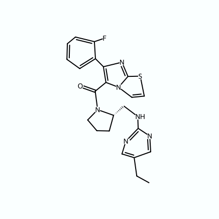 CCc1cnc(NC[C@@H]2CCCN2C(=O)c2c(-c3ccccc3F)nc3sccn23)nc1